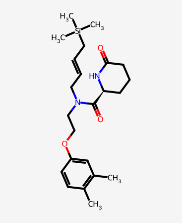 Cc1ccc(OCCN(CC=CC[Si](C)(C)C)C(=O)[C@@H]2CCCC(=O)N2)cc1C